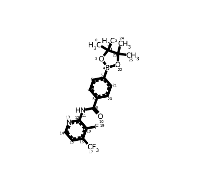 CC1(C)OB(c2ccc(C(=O)Nc3nccc(C(F)(F)F)c3F)cc2)OC1(C)C